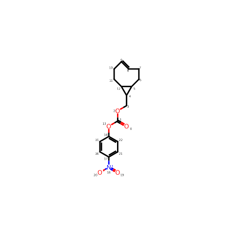 O=C(OCC1C2CC/C=C/CCC21)Oc1ccc([N+](=O)[O-])cc1